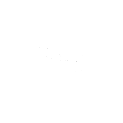 O=C(N[C@@H](Cc1ccccc1)C(=O)[N+](=O)[O-])OCC1c2ccccc2-c2ccccc21